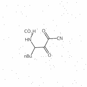 CCCCC(NC(=O)O)C(=O)C(=O)C#N